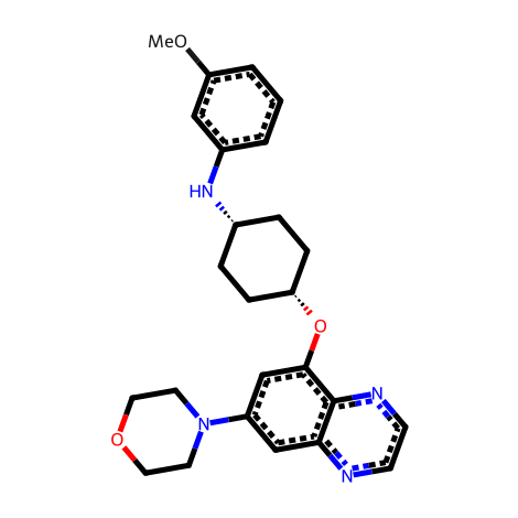 COc1cccc(N[C@H]2CC[C@@H](Oc3cc(N4CCOCC4)cc4nccnc34)CC2)c1